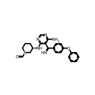 N=C(c1ccc(Oc2ccccc2)cc1)c1c(N)ncnc1N[C@@H]1CCCN(C=O)C1